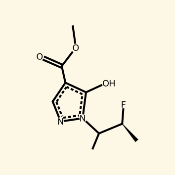 COC(=O)c1cnn(C(C)[C@H](C)F)c1O